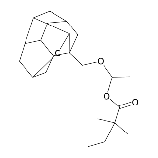 CCC(C)(C)C(=O)OC(C)OCC12CC3CC4C5CC(CC41)CC2C5C3